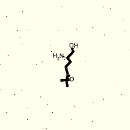 CC1(C)OC1CC[C@H](N)CO